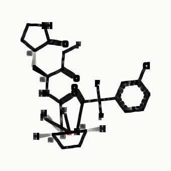 O=C1NCC[C@H]1C[C@H](NC(=O)[C@@H]1[C@@H]2CC[C@@H](CC2(F)F)N1C(=O)C(F)(F)c1cccc(Cl)c1)C(=O)CF